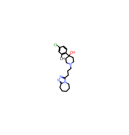 Cc1cc(Cl)ccc1C1(O)CCN(CCCc2nnc3n2CCCCC3)CC1